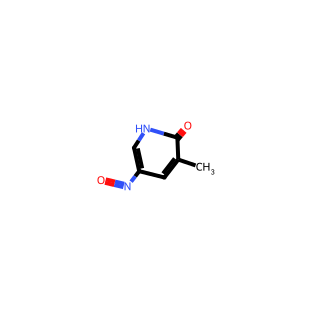 Cc1cc(N=O)c[nH]c1=O